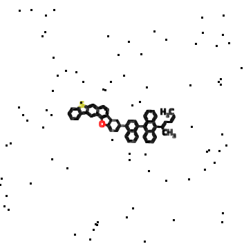 C/C=C\C=C(/C)c1c2ccccc2c(-c2ccc(C3=CC=C4Oc5c(ccc6cc7sc8ccccc8c7cc56)C4C3)c3ccccc23)c2ccccc12